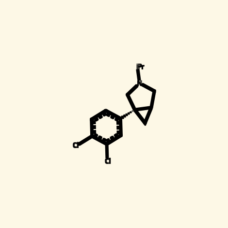 CC(C)N1CC2C[C@@]2(c2ccc(Cl)c(Cl)c2)C1